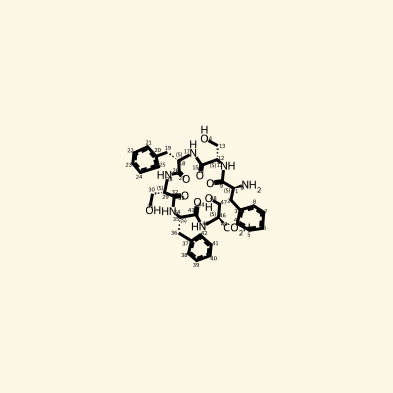 N[C@@H](Cc1ccccc1)C(=O)N[C@@H](CO)C(=O)N[C@@H](Cc1ccccc1)C(=O)N[C@@H](CO)C(=O)N[C@@H](Cc1ccccc1)C(=O)N[C@@H](CO)C(=O)O